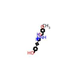 COc1ccc(CC(=O)Nc2cc([C@H]3C[C@@H](c4ccc(CO)cc4)C3)n[nH]2)cc1